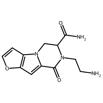 NCCN1C(=O)c2cc3occc3n2CC1C(N)=O